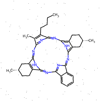 CCCCC1=C(C)c2nc1nc1[nH]c(nc3nc(nc4[nH]c(n2)c2c4CC[C@H](C)C2)-c2ccccc2-3)c2c1CC[C@H](C)C2